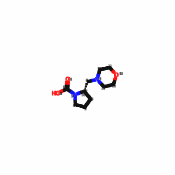 O=C(O)N1CCC[C@H]1CN1CCOCC1